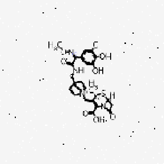 CO/N=C(\C(=O)NCC12CC[N+](CC3=C(C(=O)O)N4C(=O)C[C@H]4S[C@H]3C)(CC1)CC2)c1cc(O)c(O)c(Cl)c1